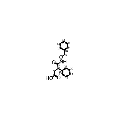 O=C(O)CC(C(=O)NOCc1ccccc1)c1ccccc1